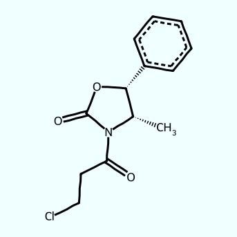 C[C@H]1[C@@H](c2ccccc2)OC(=O)N1C(=O)CCCl